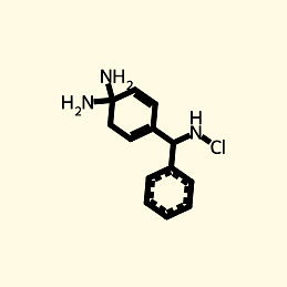 NC1(N)C=CC(C(NCl)c2ccccc2)=CC1